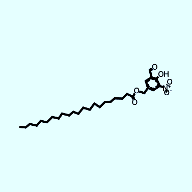 CCCCCCCCCCCCCCCCCCCCCC(=O)OCc1cc(C=O)c(O)c([N+](=O)[O-])c1